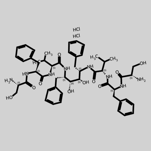 CC(C)[C@H](NC(=O)[C@H](Cc1ccccc1)NC(=O)[C@@H](N)CO)C(=O)N[C@@H](Cc1ccccc1)[C@H](O)[C@H](O)[C@H](Cc1ccccc1)NC(=O)[C@@H](NC(=O)[C@H](Cc1ccccc1)NC(=O)[C@@H](N)CO)C(C)C.Cl.Cl